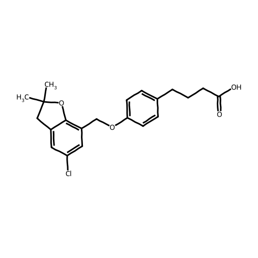 CC1(C)Cc2cc(Cl)cc(COc3ccc(CCCC(=O)O)cc3)c2O1